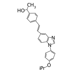 CC(C)Oc1ccc(-n2cnc3cc(C=Cc4ccc(C(C)O)cc4)ccc32)cc1